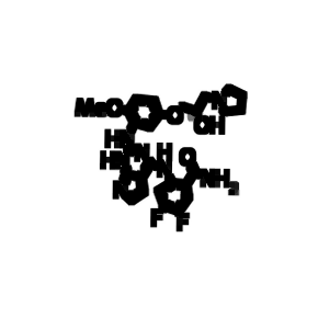 COc1ccc(OC[C@@H](O)CN2CCCC2)cc1Nc1nc(Nc2cc(F)c(F)cc2C(N)=O)c2ccnc-2[nH]1